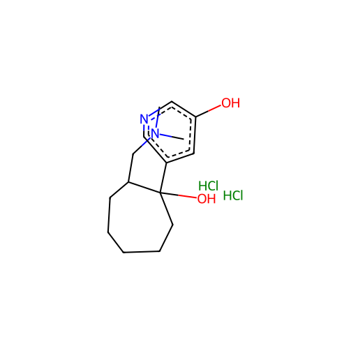 CN(C)CC1CCCCCC1(O)c1cncc(O)c1.Cl.Cl